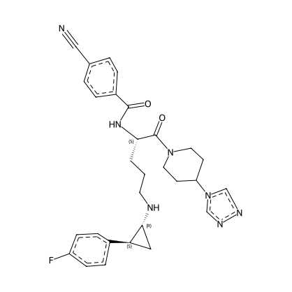 N#Cc1ccc(C(=O)N[C@@H](CCCN[C@@H]2C[C@H]2c2ccc(F)cc2)C(=O)N2CCC(n3cnnc3)CC2)cc1